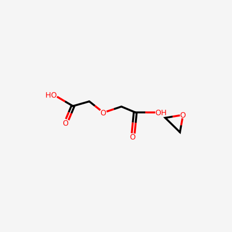 C1CO1.O=C(O)COCC(=O)O